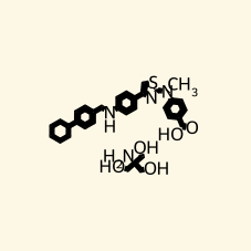 CN(c1ccc(C(=O)O)cc1)c1nc(-c2ccc(NCc3ccc(C4CCCCC4)cc3)cc2)cs1.NC(CO)(CO)CO